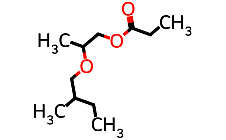 CCC(=O)OCC(C)OCC(C)CC